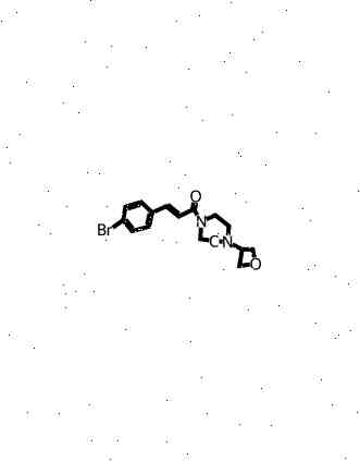 O=C(/C=C/c1ccc(Br)cc1)N1CCN(C2COC2)CC1